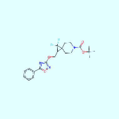 CC(C)(C)OC(=O)N1CCC2(CC1)C(COc1noc(-c3ccccc3)n1)C2(F)F